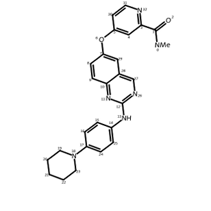 CNC(=O)c1cc(Oc2ccc3nc(Nc4ccc(N5CCCCC5)cc4)ncc3c2)ccn1